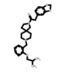 CC(C)COc1ccccc1CN1CCC2(CC1)CCN(C(=O)Cc1ccc3c(c1)OCO3)C2